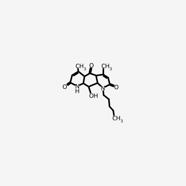 CCCCCN1C(=O)C=C(C)C2C(=O)C3C(C)=CC(=O)NC3C(O)C21